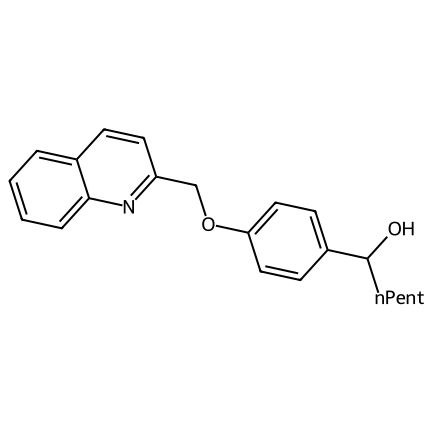 CCCCCC(O)c1ccc(OCc2ccc3ccccc3n2)cc1